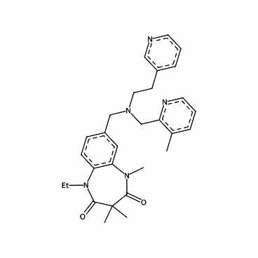 CCN1C(=O)C(C)(C)C(=O)N(C)c2cc(CN(CCc3cccnc3)Cc3ncccc3C)ccc21